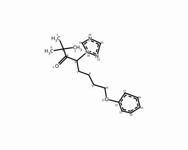 CC(C)(C)C(=O)C(CCCCOc1ccccc1)n1cncn1